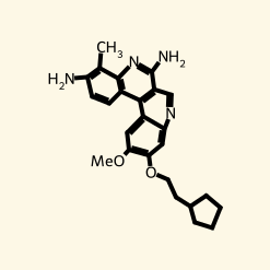 COc1cc2c(cc1OCCC1CCCC1)ncc1c(N)nc3c(C)c(N)ccc3c12